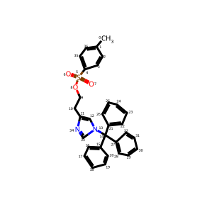 Cc1ccc(S(=O)(=O)OCCc2cn(C(c3ccccc3)(c3ccccc3)c3ccccc3)cn2)cc1